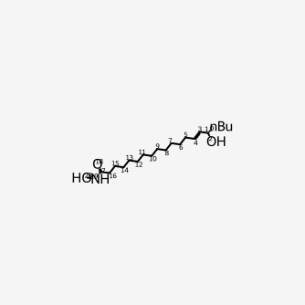 CCCC[C@@H](O)C=CCCCCCCCCCCCCC(=O)NO